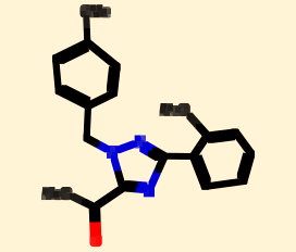 COC(=O)c1nc(-c2ccccc2OC)nn1Cc1ccc(OC)cc1